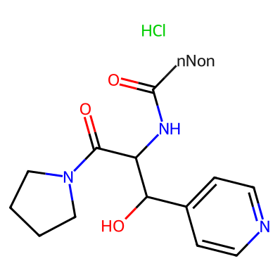 CCCCCCCCCC(=O)NC(C(=O)N1CCCC1)C(O)c1ccncc1.Cl